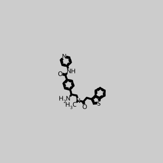 CN(CC(N)c1ccc(C(=O)Nc2ccncc2)cc1)C(=O)Cc1csc2ccccc12